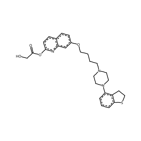 O=C(CO)Oc1ccc2ccc(OCCCCN3CCN(c4cccc5c4CCS5)CC3)cc2n1